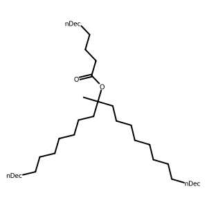 CCCCCCCCCCCCCCCCCCC(C)(CCCCCCCCCCCCCCCCC)OC(=O)CCCCCCCCCCCCC